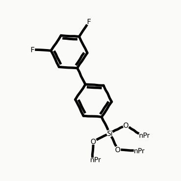 CCCO[Si](OCCC)(OCCC)c1ccc(-c2cc(F)cc(F)c2)cc1